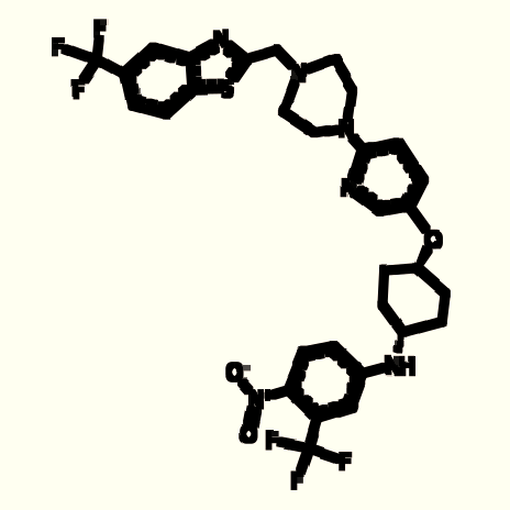 O=[N+]([O-])c1ccc(N[C@H]2CC[C@H](Oc3ccc(N4CCN(Cc5nc6cc(C(F)(F)F)ccc6s5)CC4)nc3)CC2)cc1C(F)(F)F